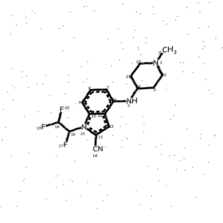 CN1CCC(Nc2cccc3c2cc(C#N)n3C(F)C(F)F)CC1